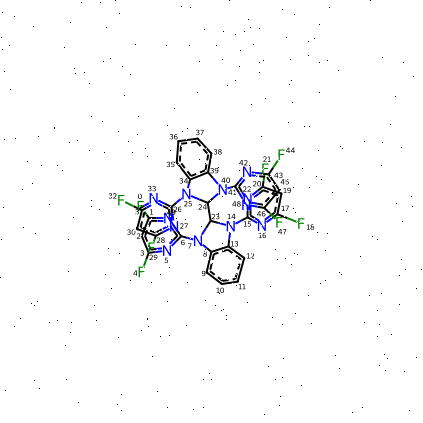 Fc1cc(F)nc(N2c3ccccc3N(c3nc(F)cc(F)n3)C2C2N(c3nc(F)cc(F)n3)c3ccccc3N2c2nc(F)cc(F)n2)n1